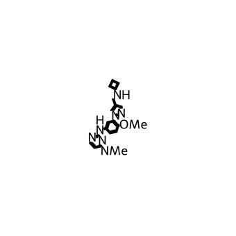 CNc1ccnc(Nc2ccc(OC)c(-n3cc(CNC4CCC4)cn3)c2)n1